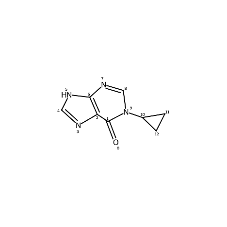 O=c1c2nc[nH]c2ncn1C1CC1